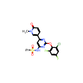 CC(C)S(=O)(=O)Nc1cc(-c2ccc(=O)n(C)c2)nc(Oc2c(F)cc(F)cc2Cl)n1